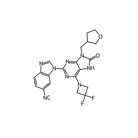 [C-]#[N+]c1ccc2ncn(-c3nc(N4CC(F)(F)C4)c4[nH]c(=O)n(CC5CCOC5)c4n3)c2c1